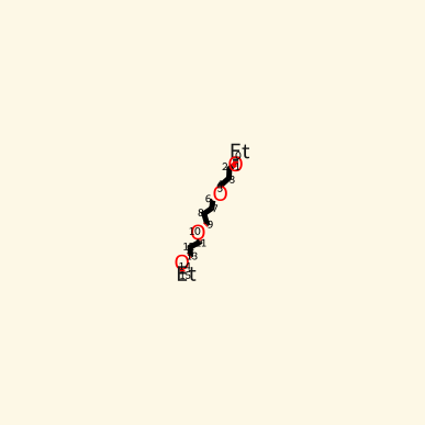 CCOCCCOCCCCOCCCOCC